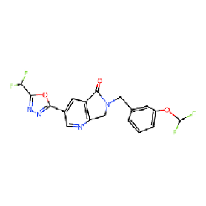 O=C1c2cc(-c3nnc(C(F)F)o3)cnc2CN1Cc1cccc(OC(F)F)c1